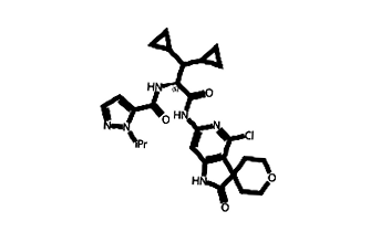 CC(C)n1nccc1C(=O)N[C@H](C(=O)Nc1cc2c(c(Cl)n1)C1(CCOCC1)C(=O)N2)C(C1CC1)C1CC1